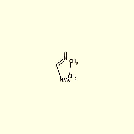 CC.CNC=N